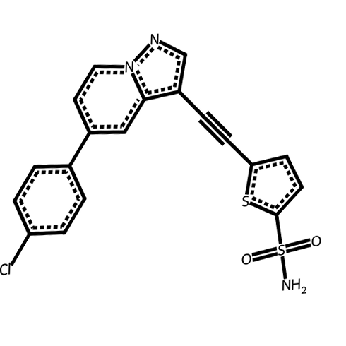 NS(=O)(=O)c1ccc(C#Cc2cnn3ccc(-c4ccc(Cl)cc4)cc23)s1